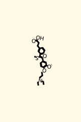 CCN(CC)CCCOc1ccc(-c2oc3ccc(CCC(=O)O)cc3c2SC)cc1OC